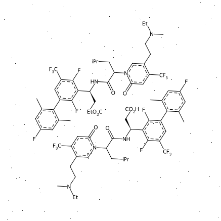 CCN(C)CCc1cn(C(CC(C)C)C(=O)N[C@@H](CC(=O)O)c2c(F)c(-c3c(C)cc(F)cc3C)cc(C(F)(F)F)c2F)c(=O)cc1C(F)(F)F.CCOC(=O)C[C@H](NC(=O)C(CC(C)C)n1cc(CCN(C)CC)c(C(F)(F)F)cc1=O)c1c(F)c(-c2c(C)cc(F)cc2C)cc(C(F)(F)F)c1F